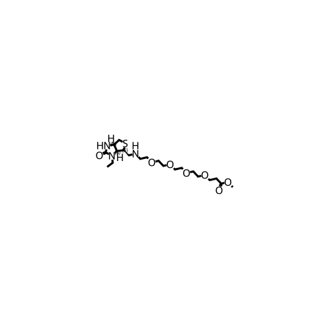 CCN1C(=O)N[C@H]2CS[C@@H](CNCCOCCOCCOCCOCCC(=O)OC)[C@H]21